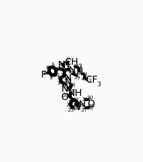 Cn1nc(-c2ccc(F)cc2)c(-c2ccc3nc(NC(=O)c4ccnc(N5CCOCC5)c4)cn3n2)c1N1CCN(CCC(F)(F)F)CC1